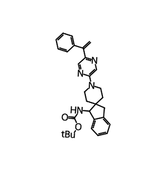 C=C(c1ccccc1)c1cnc(N2CCC3(CC2)Cc2ccccc2C3NC(=O)OC(C)(C)C)cn1